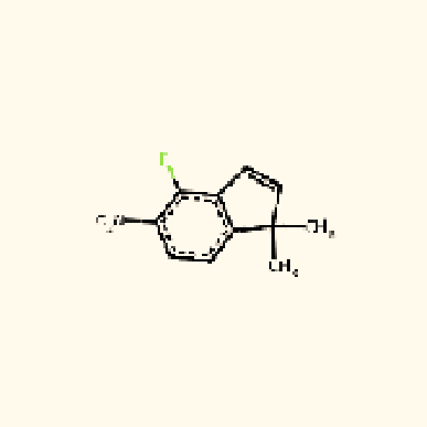 CC1(C)C=Cc2c1ccc([N+](=O)[O-])c2F